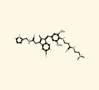 COc1cc(/C=C2/C(C)=C(CC(=O)NCc3ccco3)c3cc(F)ccc32)cc(OC)c1SCCC(=O)OCCN(C)C